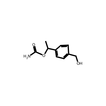 CC(OC(N)=O)c1ccc(CO)cc1